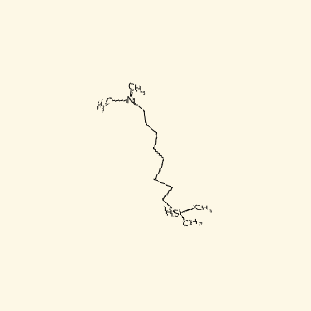 CN(C)CCCCCCCC[SiH](C)C